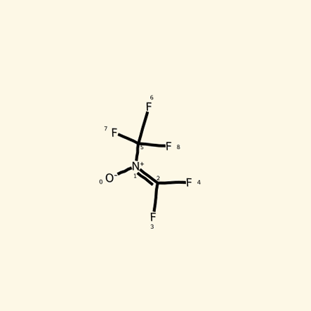 [O-][N+](=C(F)F)C(F)(F)F